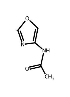 CC(=O)Nc1co[c]n1